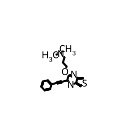 CN(C)CCCOc1nc2cscc2nc1C#Cc1ccccc1